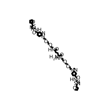 N[C@@H](CCC(=O)NCCOCCOCCn1cnc2cc(C(=O)Nc3nnc(-c4ccco4)s3)ccc21)C(=O)NCCOCCOCCn1cnc2cc(C(=O)Nc3nnc(-c4ccco4)s3)ccc21